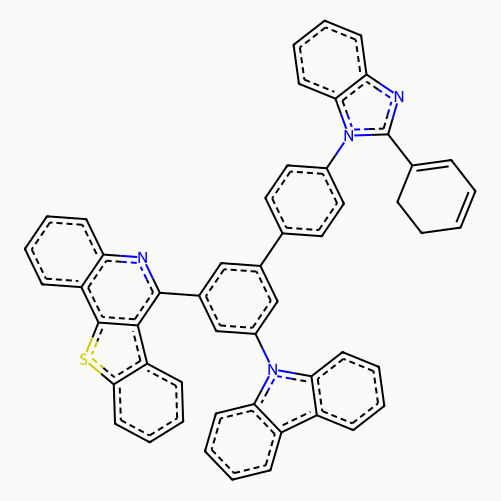 C1=CCCC(c2nc3ccccc3n2-c2ccc(-c3cc(-c4nc5ccccc5c5sc6ccccc6c45)cc(-n4c5ccccc5c5ccccc54)c3)cc2)=C1